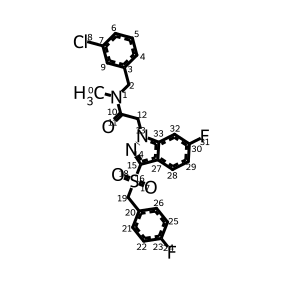 CN(Cc1cccc(Cl)c1)C(=O)Cn1nc(S(=O)(=O)Cc2ccc(F)cc2)c2ccc(F)cc21